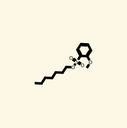 CCCCCCCOS(=O)(=O)c1ccccc1OC